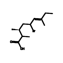 CC/C(C)=C/C(Br)C[C@@H](C)C(C)C(=O)O